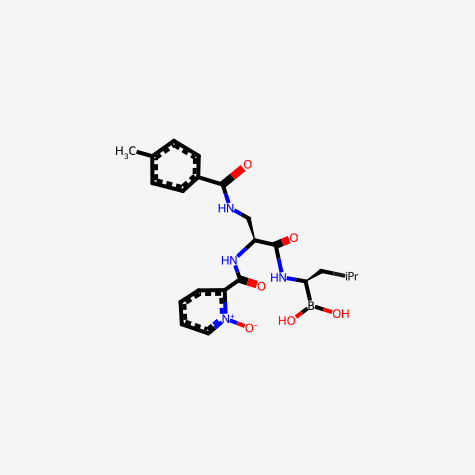 Cc1ccc(C(=O)NC[C@H](NC(=O)c2cccc[n+]2[O-])C(=O)N[C@@H](CC(C)C)B(O)O)cc1